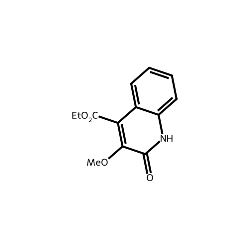 CCOC(=O)c1c(OC)c(=O)[nH]c2ccccc12